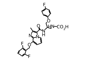 Cc1nc2c(OCc3c(F)cccc3F)cccn2c1C(=O)NC(CNC(=O)O)COc1ccc(F)cc1